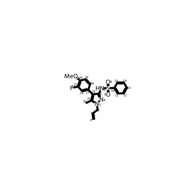 C=CCn1nc(NS(=O)(=O)c2ccccc2)c(-c2ccc(OC)c(F)c2)c1C